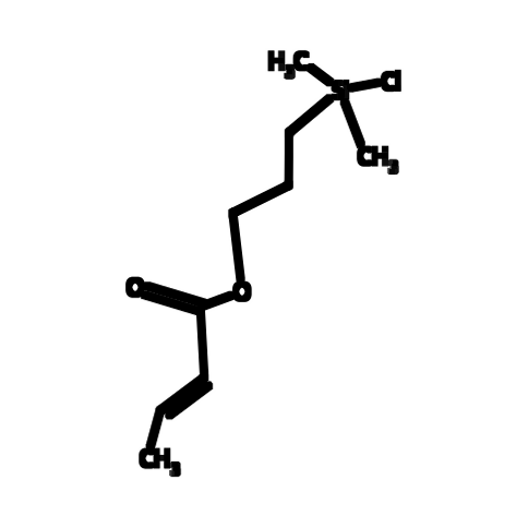 CC=CC(=O)OCCC[Si](C)(C)Cl